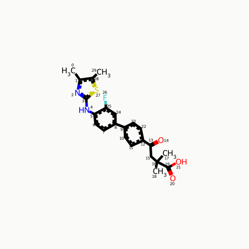 Cc1nc(Nc2ccc(-c3ccc(C(=O)CC(C)(C)C(=O)O)cc3)cc2F)sc1C